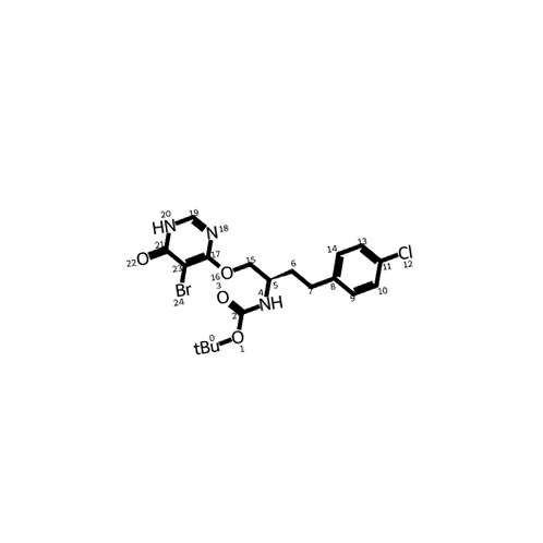 CC(C)(C)OC(=O)N[C@H](CCc1ccc(Cl)cc1)COc1nc[nH]c(=O)c1Br